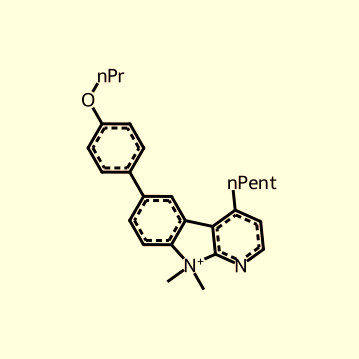 CCCCCc1ccnc2c1-c1cc(-c3ccc(OCCC)cc3)ccc1[N+]2(C)C